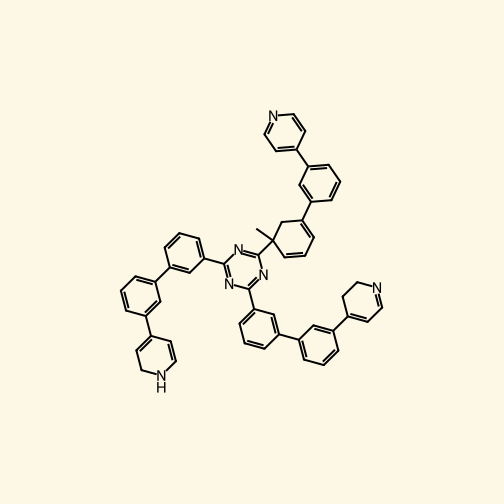 CC1(c2nc(-c3cccc(-c4cccc(C5=CCNC=C5)c4)c3)nc(-c3cccc(-c4cccc(C5=CC=NCC5)c4)c3)n2)C=CC=C(c2cccc(-c3ccncc3)c2)C1